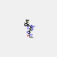 CCCCC(=O)Nc1cncc(-c2cnc3[nH]nc(-c4cc5c(-c6cccs6)cccc5[nH]4)c3c2)c1